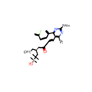 C=C(F)/C=C\C(=C)c1nc(NC)nc(C(C)C)c1/C=C/C(=O)C[C@H](CC=O)CC(C)(C)[Si](C)(C)O